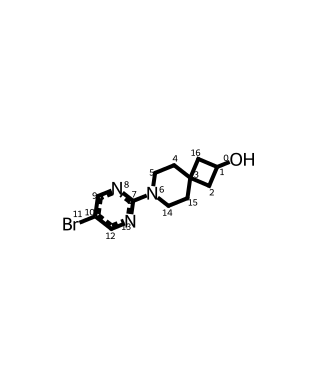 OC1CC2(CCN(c3ncc(Br)cn3)CC2)C1